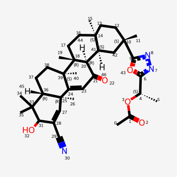 CC(=O)O[C@@H](C)c1nnc([C@@]2(C)CC[C@]3(C)CC[C@]4(C)[C@H](C(=O)C=C5[C@@]6(C)C=C(C#N)C(O)C(C)(C)[C@@H]6CC[C@]54C)[C@@H]3C2)o1